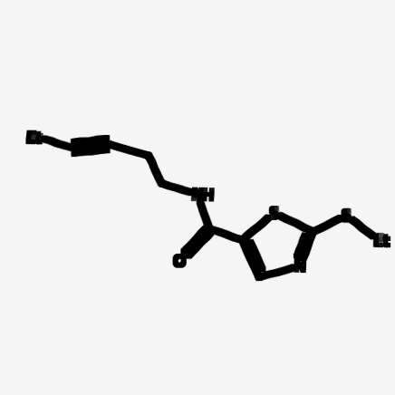 CCC#CCCNC(=O)c1cnc(SCC)s1